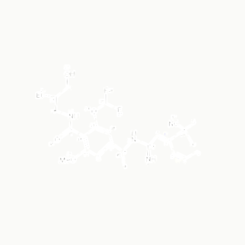 C/C=C\C(=C/C(=N)N[C@H](C)c1cc(OC)c(C(=O)NCC(CC)CO)c(OC(F)F)c1)C(C)(C)C#N